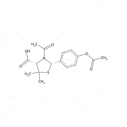 CC(=O)Oc1ccc([C@@H]2SC(C)(C)[C@H](C(=O)O)N2C(C)=O)cc1